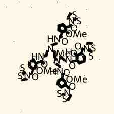 COc1c(C(=O)NCCN(CCNC(=O)c2cccc(C(=O)N3CCSC3=S)c2OC)CCN(CCNC(=O)c2cccc(C(=O)N3CCSC3=S)c2OC)CCNC(=O)c2cccc(C(=O)N3CCSC3=S)c2OC)cccc1C(=O)N1CCSC1=S